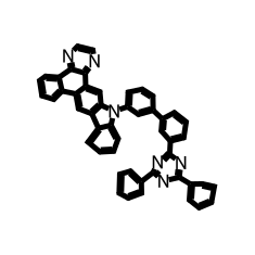 c1ccc(-c2nc(-c3ccccc3)nc(-c3cccc(-c4cccc(-n5c6ccccc6c6cc7c8ccccc8c8nccnc8c7cc65)c4)c3)n2)cc1